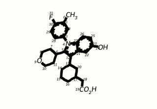 Cc1cc(-n2c(C3CCOCC3)c(C3CCCC(CC(=O)O)C3)c3cc(O)ccc32)ccc1F